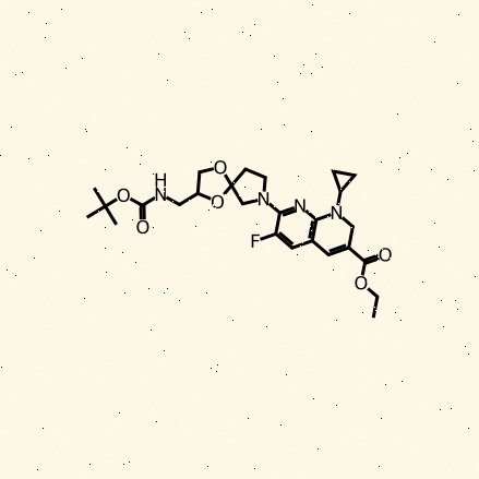 CCOC(=O)C1=Cc2cc(F)c(N3CCC4(C3)OCC(CNC(=O)OC(C)(C)C)O4)nc2N(C2CC2)C1